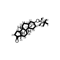 CC(C)(C)[Si](C)(C)O[C@H]1CC[C@@]2(C)C(CC[C@@H]3[C@@H]2CC[C@]2(C)C(=O)CC[C@@H]32)C1